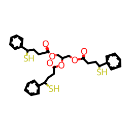 O=C(CCC(S)c1ccccc1)OCC(COC(=O)CCC(S)c1ccccc1)OC(=O)CCC(S)c1ccccc1